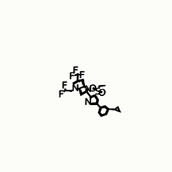 CCS(=O)(=O)c1cc(-c2cccc(C3CC3)c2)cnc1-c1cc2n(CC(F)F)cc(C(F)(F)F)cc-2n1